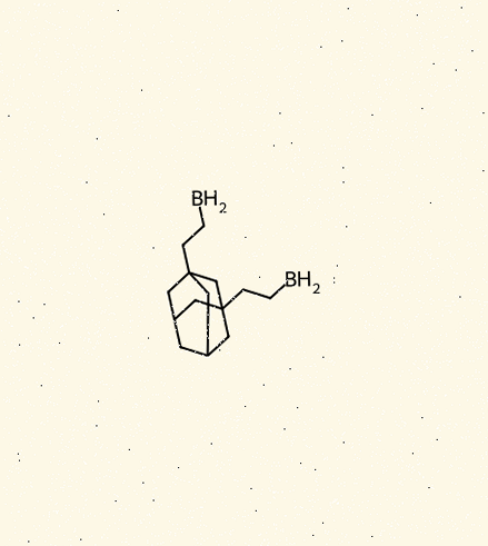 BCCC12CC3CC(C1)CC(CCB)(C3)C2